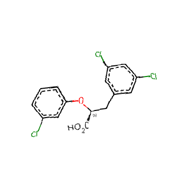 O=C(O)[C@H](Cc1cc(Cl)cc(Cl)c1)Oc1cccc(Cl)c1